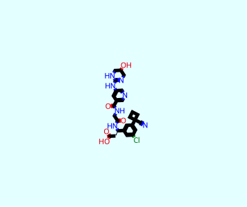 N#CC1(c2cc(Cl)cc([C@H](CC(=O)O)NC(=O)CNC(=O)c3cncc(NC4=NCC(O)CN4)c3)c2)CCC1